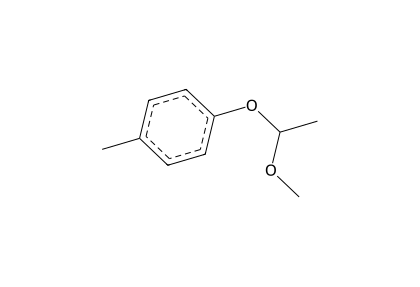 COC(C)Oc1ccc(C)cc1